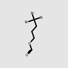 O=[C]OCCCC(Br)(Br)Br